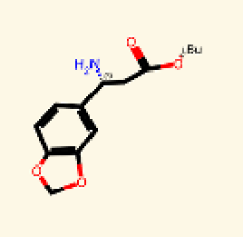 CC(C)(C)OC(=O)C[C@@H](N)c1ccc2c(c1)OCO2